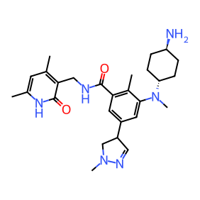 Cc1cc(C)c(CNC(=O)c2cc(C3C=NN(C)C3)cc(N(C)[C@H]3CC[C@H](N)CC3)c2C)c(=O)[nH]1